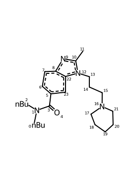 CCCCN(CCCC)C(=O)c1ccc2nc(C)n(CCCN3CCCCC3)c2c1